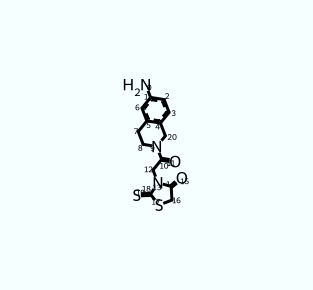 Nc1ccc2c(c1)CCN(C(=O)CN1C(=O)CSC1=S)C2